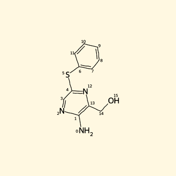 Nc1ncc(Sc2ccccc2)nc1CO